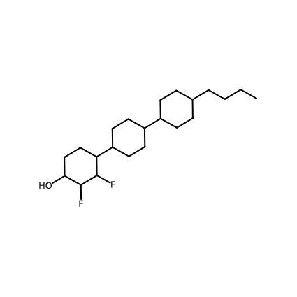 CCCCC1CCC(C2CCC(C3CCC(O)C(F)C3F)CC2)CC1